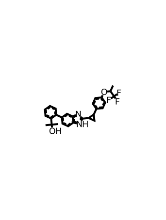 CC(Oc1ccc(C2CC2c2nc3cc(-c4ccccc4C(C)(C)O)ccc3[nH]2)cc1)C(F)(F)F